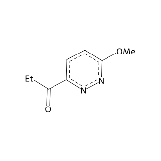 CCC(=O)c1ccc(OC)nn1